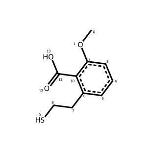 COc1cccc(CCS)c1C(=O)O